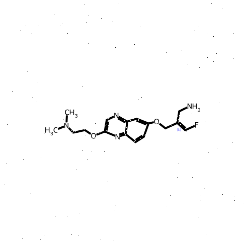 CN(C)CCOc1cnc2cc(OC/C(=C/F)CN)ccc2n1